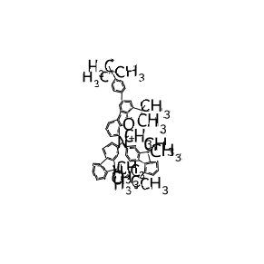 CC(C)c1cc(-c2ccc(C(C)(C)C)cc2)cc2c1oc1c([N+](C)(c3ccc4c(c3)C(C)(C)c3ccccc3-4)c3ccc4c(c3)C(C)(C)c3cccc(C(C)(C)C)c3-4)cccc12